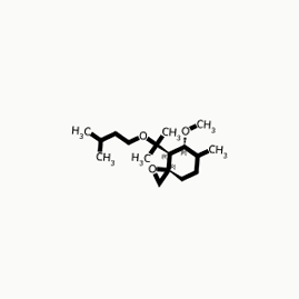 CO[C@@H]1C(C)CC[C@]2(CO2)[C@H]1C(C)(C)OCCC(C)C